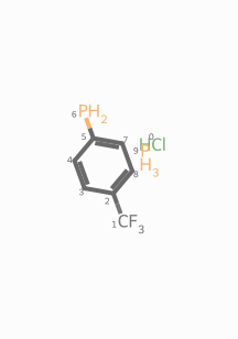 Cl.FC(F)(F)c1ccc(P)cc1.P